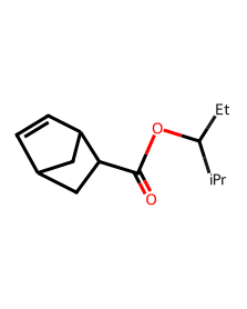 CCC(OC(=O)C1CC2C=CC1C2)C(C)C